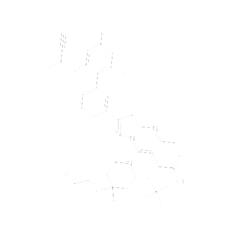 C#CC(C)Oc1cc(C)cc(F)c1-c1cccc(-c2cc3nc(C)c(C(OC(C)(C)C)C(=O)O)c(N4CCC(C)(OCC=C)CC4)n3n2)c1